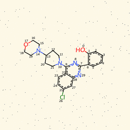 Oc1ccccc1-c1nc(N2CCC(N3CCOCC3)CC2)c2ccc(Cl)cc2n1